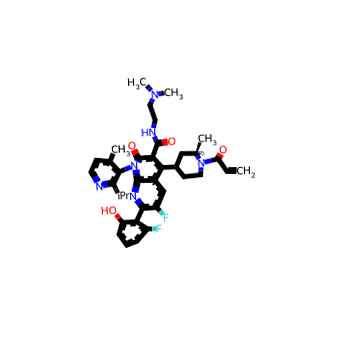 C=CC(=O)N1CCC(c2c(C(=O)NCCN(C)C)c(=O)n(-c3c(C)ccnc3C(C)C)c3nc(-c4c(O)cccc4F)c(F)cc23)C[C@H]1C